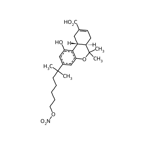 CC(C)(CCCCCO[N+](=O)[O-])c1cc(O)c2c(c1)OC(C)(C)[C@@H]1CC=C(C(=O)O)C[C@@H]21